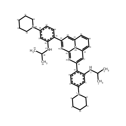 CC(C)Nc1cc(N2CCCCC2)ccc1C1=CC2=CC=CC3=CC(c4ccc(N5CCCCC5)cc4NC(C)C)=NC(=N1)N23